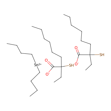 CCCCCCC(S)(CC)C(=O)[O-].CCCCCCC(S)(CC)C(=O)[O-].CCC[CH2][Sn+2][CH2]CCC